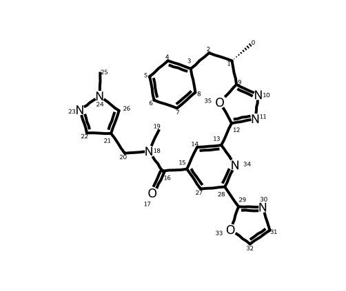 C[C@@H](Cc1ccccc1)c1nnc(-c2cc(C(=O)N(C)Cc3cnn(C)c3)cc(-c3ncco3)n2)o1